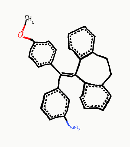 COc1ccc(C(=C2c3ccccc3CCc3ccccc32)c2cccc(N)c2)cc1